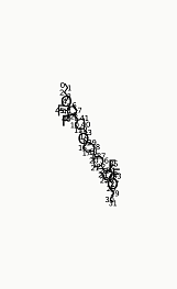 CCCCOc1ccc(C2CCC(COC3CCC(C4CCC(c5ccc(OCCCC)c(F)c5F)CC4)CC3)CC2)c(F)c1F